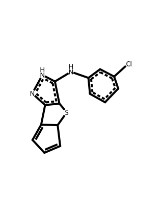 Clc1cccc(Nc2[nH]nc3c2SC2C=CC=C32)c1